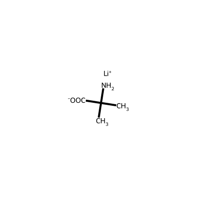 CC(C)(N)C(=O)[O-].[Li+]